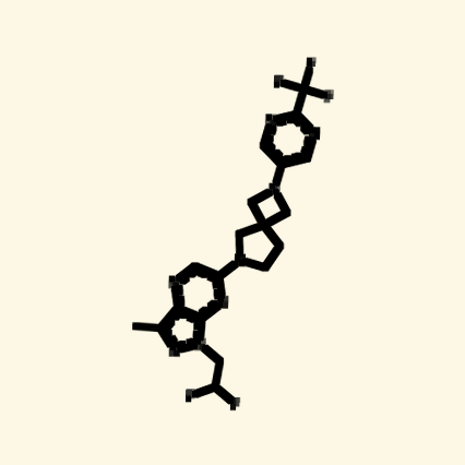 Cc1nn(CC(F)F)c2nc(N3CCC4(CN(c5cnc(C(F)(F)F)nc5)C4)C3)cnc12